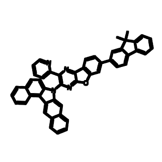 CC1(C)c2ccccc2-c2ccc(-c3ccc4c(c3)oc3nc(-n5c6cc7ccccc7cc6c6c7ccccc7ccc65)c(-c5ccccn5)nc34)cc21